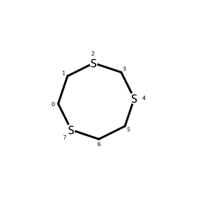 C1CSCSCCS1